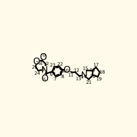 O=C1CN(C(=O)c2ccc(OCCCN3CC4CCCC4C3)cc2)CCO1